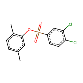 Cc1ccc(C)c(OS(=O)(=O)c2ccc(Cl)c(Cl)c2)c1